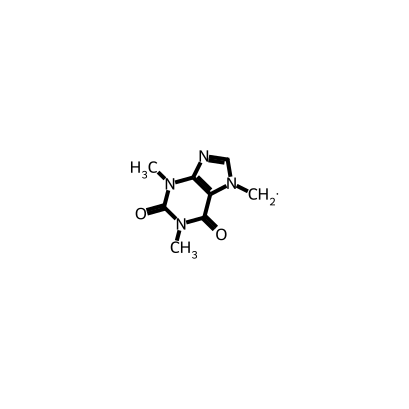 [CH2]n1cnc2c1c(=O)n(C)c(=O)n2C